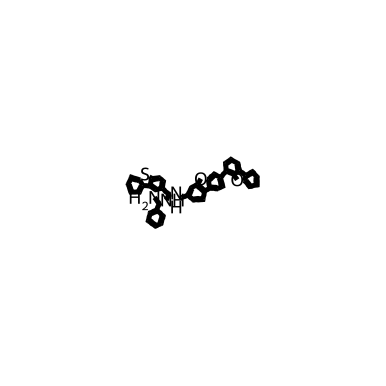 NC(NC(NCc1ccc2c(c1)oc1cc(-c3cccc4c3oc3ccccc34)ccc12)c1ccc2sc3ccccc3c2c1)c1ccccc1